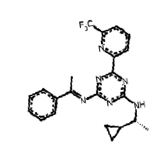 C/C(=N\c1nc(N[C@H](C)C2CC2)nc(-c2cccc(C(F)(F)F)n2)n1)c1ccccc1